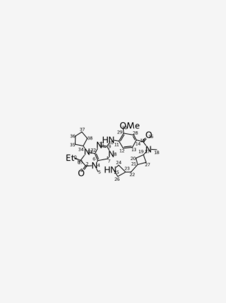 CC[C@@H]1C(=O)N(C)c2cnc(Nc3ccc(C(=O)N(C)C4CC(CC5CNC5)C4)cc3OC)nc2N1C1CCCC1